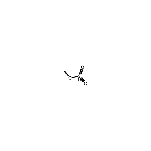 O=[SH](=O)OI